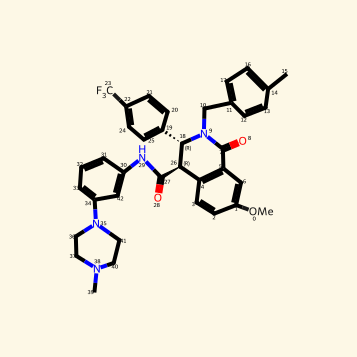 COc1ccc2c(c1)C(=O)N(Cc1ccc(C)cc1)[C@@H](c1ccc(C(F)(F)F)cc1)[C@@H]2C(=O)Nc1cccc(N2CCN(C)CC2)c1